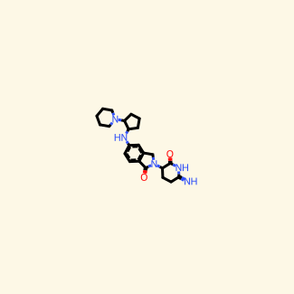 N=C1CCC(N2Cc3cc(NC4CCCC4N4CCCCC4)ccc3C2=O)C(=O)N1